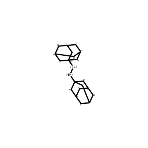 C1C2CC3CC1CC(PPC14CC5CC(CC(C5)C1)C4)(C2)C3